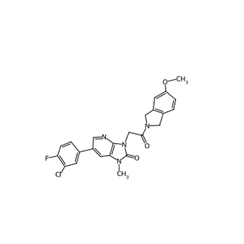 COc1ccc2c(c1)CN(C(=O)Cn1c(=O)n(C)c3cc(-c4ccc(F)c(Cl)c4)cnc31)C2